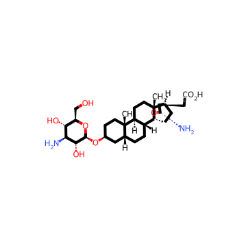 C[C@]12CC[C@H](O[C@@H]3O[C@H](CO)[C@@H](O)[C@H](N)[C@H]3O)C[C@H]1CC[C@@H]1[C@@H]2CC[C@]2(C)[C@@H]3CC[C@]12O[C@@H](N)[C@H]3CC(=O)O